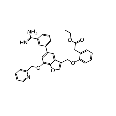 CCOC(=O)Cc1ccccc1OCc1coc2c(OCc3ccccn3)cc(-c3cccc(C(=N)N)c3)cc12